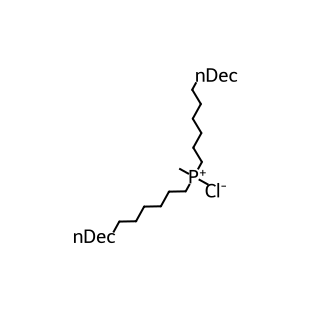 CCCCCCCCCCCCCCCC[P+](C)(C)CCCCCCCCCCCCCCCC.[Cl-]